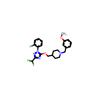 COc1cccc(CN2CCC(COc3nc(C(F)F)nn3-c3ccccc3F)CC2)c1